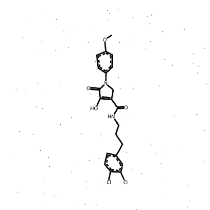 COc1ccc(N2CC(C(=O)NCCCc3ccc(Cl)c(Cl)c3)=C(O)C2=O)cc1